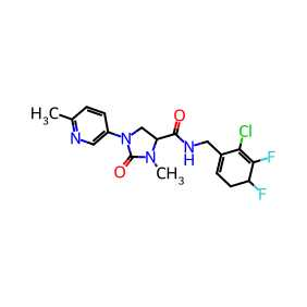 Cc1ccc(N2CC(C(=O)NCC3=CCC(F)C(F)=C3Cl)N(C)C2=O)cn1